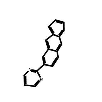 [c]1c(-c2ncccn2)ccc2cc3ccccc3cc12